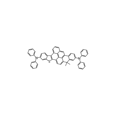 CC1(C)c2cc(N(c3ccccc3)c3ccccc3)ccc2-c2cc3cccc4c5c6ccc(N(c7ccccc7)c7ccccc7)cc6sc5c5ccc1c2c5c34